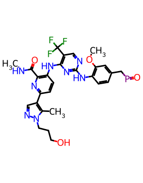 CNC(=O)c1nc(-c2cnn(CCCO)c2C)ccc1Nc1nc(Nc2ccc(CP=O)cc2OC)ncc1C(F)(F)F